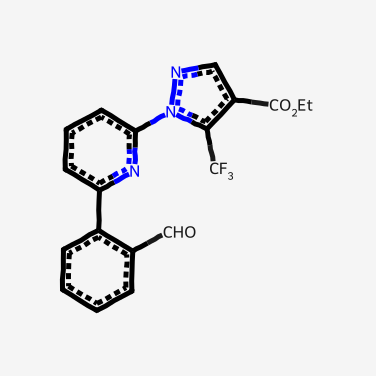 CCOC(=O)c1cnn(-c2cccc(-c3ccccc3C=O)n2)c1C(F)(F)F